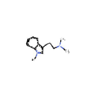 CC(C)n1cc(CCN(C)C)c2ccccc21